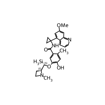 COc1cc(C2(NC(=O)c3cc(O[C@@H]([SiH3])[C@@H]4CCN4C)c(O)cc3C)CC2)c2cccnc2c1